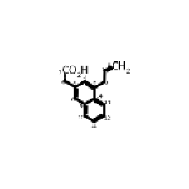 C=CCc1cc(CC(=O)O)cc2ccccc12